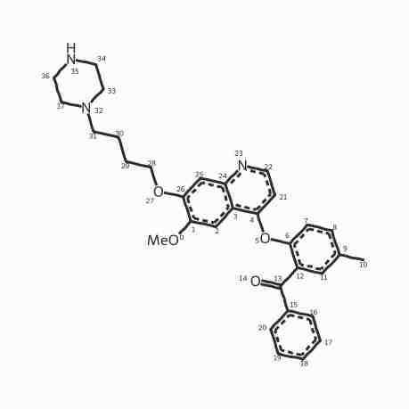 COc1cc2c(Oc3ccc(C)cc3C(=O)c3ccccc3)ccnc2cc1OCCCCN1CCNCC1